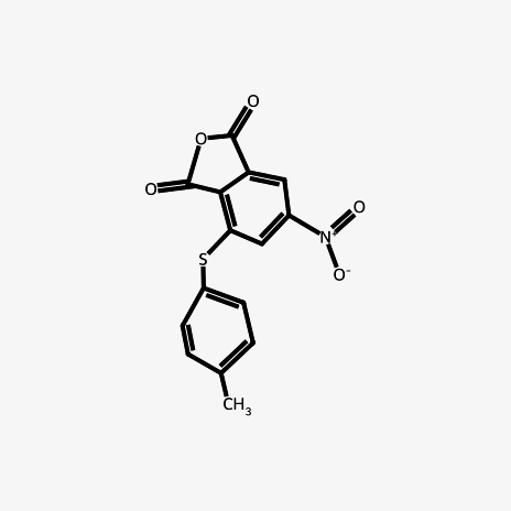 Cc1ccc(Sc2cc([N+](=O)[O-])cc3c2C(=O)OC3=O)cc1